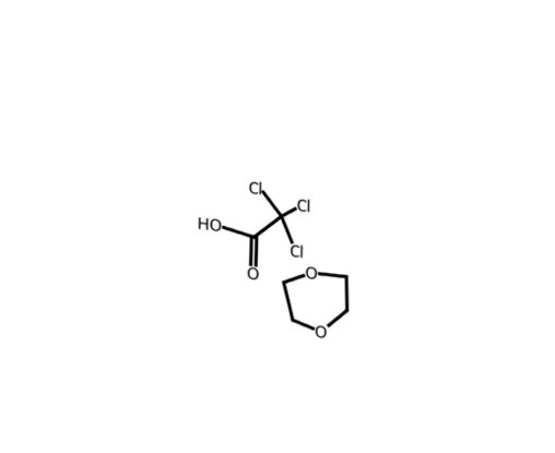 C1COCCO1.O=C(O)C(Cl)(Cl)Cl